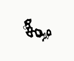 CCc1nc2ccccc2n1-c1ccc(-c2cc3c4ccccc4oc3c3ccccc23)cc1